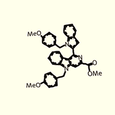 COC(=O)c1cc2c(c(-c3cc4ccccc4n3Cc3ccc(OC)cc3)n1)c1ccccc1n2Cc1ccc(OC)cc1